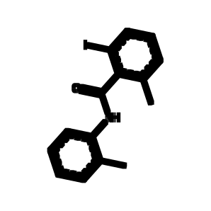 Cc1ccccc1NC(=O)c1c(C)cccc1I